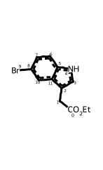 CCOC(=O)Cc1c[nH]c2ccc(Br)cc12